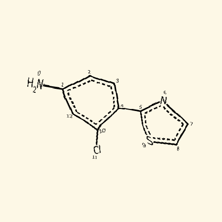 Nc1ccc(-c2nccs2)c(Cl)c1